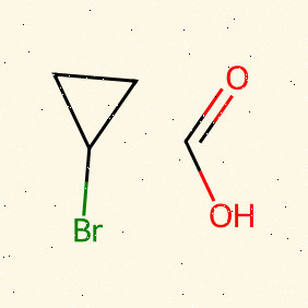 BrC1CC1.O=CO